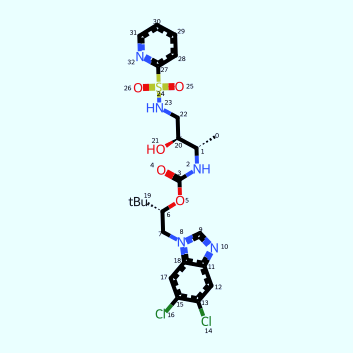 C[C@H](NC(=O)O[C@H](Cn1cnc2cc(Cl)c(Cl)cc21)C(C)(C)C)[C@@H](O)CNS(=O)(=O)c1ccccn1